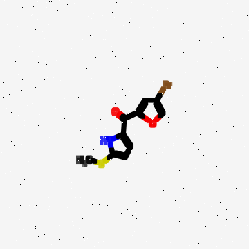 CSc1ccc(C(=O)c2cc(Br)co2)[nH]1